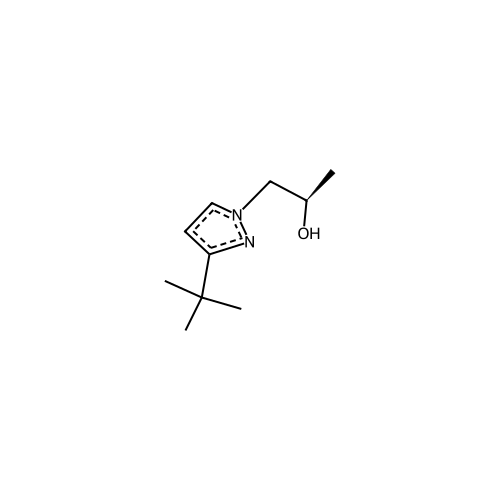 C[C@@H](O)Cn1ccc(C(C)(C)C)n1